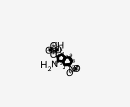 N[C@@H]1c2cc([N+](=O)[O-])ccc2C[C@@H]1OS(=O)(=O)O